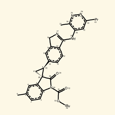 Cc1ccc2c(c1)[C@]1(C[C@H]1c1ccc3c(c1)CN=C3Nc1cc(C(C)C)nnc1C)C(=O)N2C(=O)OC(C)(C)C